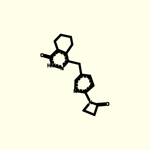 O=C1CCN1c1ccc(Cc2n[nH]c(=O)c3c2CCCC3)cn1